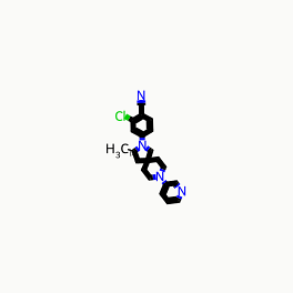 C[C@H]1CC2(CCN(c3cccnc3)CC2)CN1c1ccc(C#N)c(Cl)c1